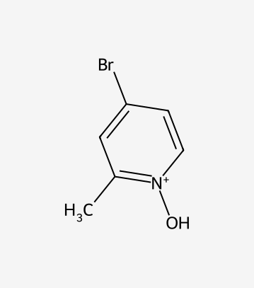 Cc1cc(Br)cc[n+]1O